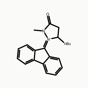 CCCCC1CC(=O)N(C)[N+]1=C1c2ccccc2-c2ccccc21